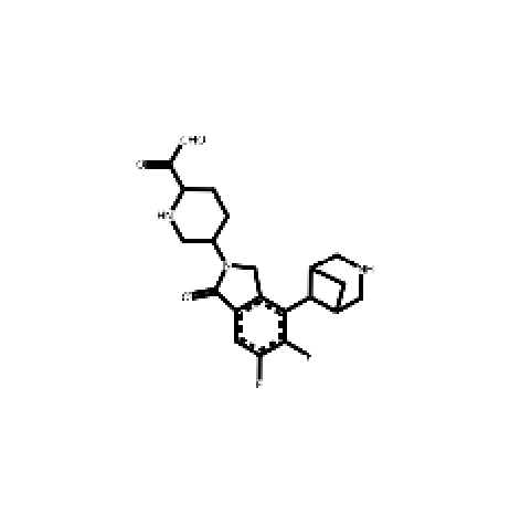 O=CC(=O)C1CCC(N2Cc3c(cc(F)c(F)c3C3C4CNCC3C4)C2=O)CN1